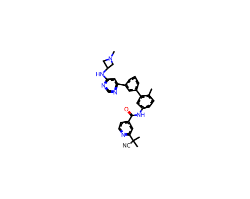 Cc1ccc(NC(=O)c2ccnc(C(C)(C)C#N)c2)cc1-c1cccc(-c2cc(NC3CN(C)C3)ncn2)c1